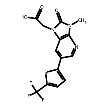 Cn1c(=O)n(CC(=O)O)c2cc(-c3ccc(C(F)(F)F)s3)cnc21